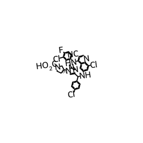 N#Cc1cnc2c(Cl)cc(NC(c3ccc(Cl)cc3)c3cn([C@H]4CCN(C(=O)O)C4)nn3)cc2c1Nc1ccc(F)c(Cl)c1